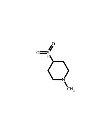 CN1CCC([SH](=O)=O)CC1